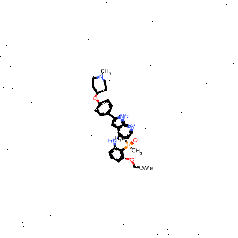 COCOc1cccc(Nc2ccnc3[nH]c(-c4ccc(OC5CCN(C)CC5)cc4)cc23)c1P(C)(C)=O